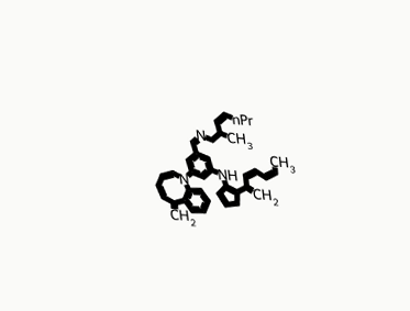 C=C(/C=C\C=C/C)C1=C(Nc2cc(/C=N\CC(C)/C=C\CCC)cc(N3/C=C\C=C/C(=C)c4ccccc43)c2)C=CC1